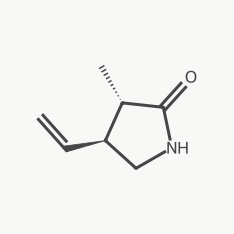 C=C[C@@H]1CNC(=O)[C@H]1C